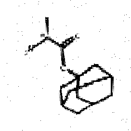 C[C@H](N)C(=O)OC12CC3CC(CC(C3)C1)C2